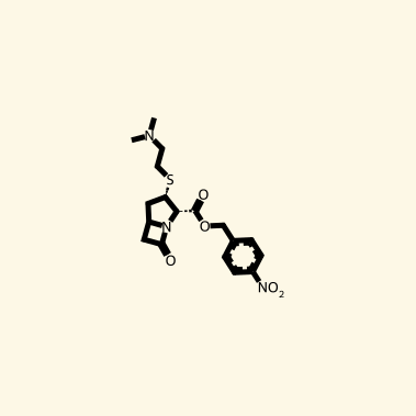 CN(C)CCS[C@H]1CC2CC(=O)N2[C@H]1C(=O)OCc1ccc([N+](=O)[O-])cc1